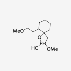 COCCC1CCCCC1(CCOC)OPO